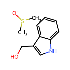 C[S+](C)[O-].OCc1c[nH]c2ccccc12